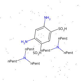 CCCCCN(CCCCC)CCCCC.CCCCCN(CCCCC)CCCCC.Nc1cc(N)c(S(=O)(=O)O)cc1S(=O)(=O)O